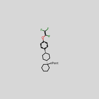 CCCCCC1([C@H]2CC[C@H](c3ccc(OC(F)=C(F)F)cc3)CC2)CCCCC1